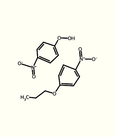 CCCOc1ccc([N+](=O)[O-])cc1.O=[N+]([O-])c1ccc(OO)cc1